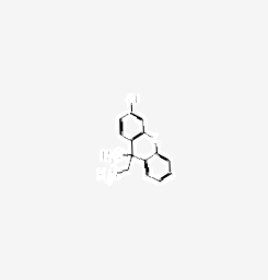 CC1(CN)c2ccccc2Sc2cc(Cl)ccc21